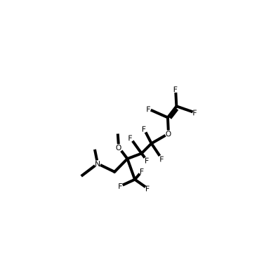 COC(CN(C)C)(C(F)(F)F)C(F)(F)C(F)(F)OC(F)=C(F)F